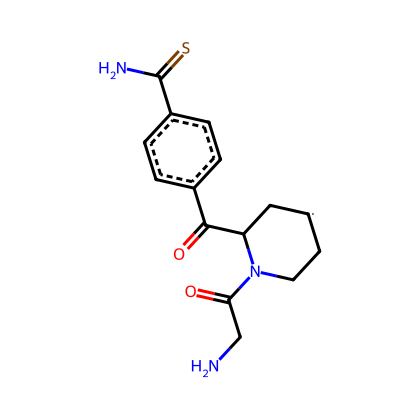 NCC(=O)N1CC[CH]CC1C(=O)c1ccc(C(N)=S)cc1